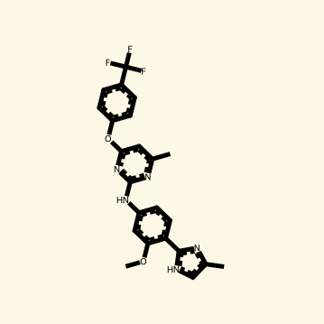 COc1cc(Nc2nc(C)cc(Oc3ccc(C(F)(F)F)cc3)n2)ccc1-c1nc(C)c[nH]1